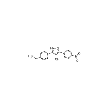 NCc1ccc(-c2[nH]nc(-c3ccc([N+](=O)[O-])cc3)c2O)cc1